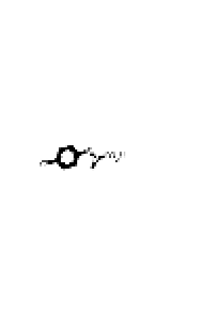 CN(Sc1ccc(Cl)cc1)C(=O)O